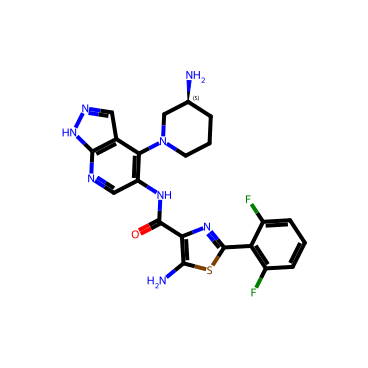 Nc1sc(-c2c(F)cccc2F)nc1C(=O)Nc1cnc2[nH]ncc2c1N1CCC[C@H](N)C1